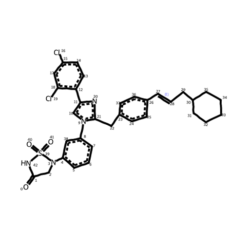 O=C1CN(c2cccc(-n3cc(-c4ccc(Cl)cc4Cl)nc3Cc3ccc(/C=C/CC4CCCCC4)cc3)c2)S(=O)(=O)N1